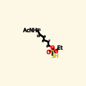 CCOP(=O)(S)OCCCCCCNC(C)=O